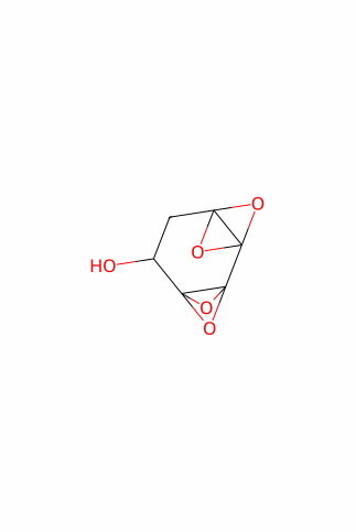 OC1CC23OC2(O3)C23OC12O3